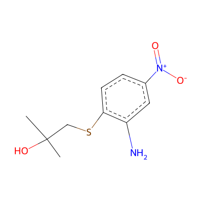 CC(C)(O)CSc1ccc([N+](=O)[O-])cc1N